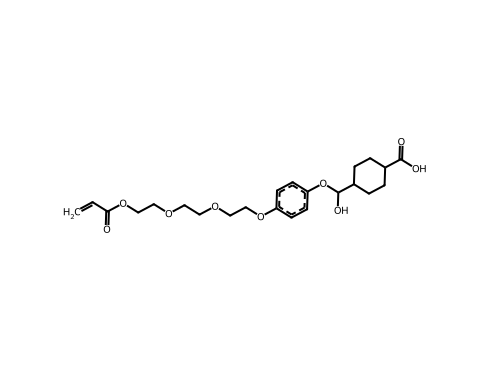 C=CC(=O)OCCOCCOCCOc1ccc(OC(O)C2CCC(C(=O)O)CC2)cc1